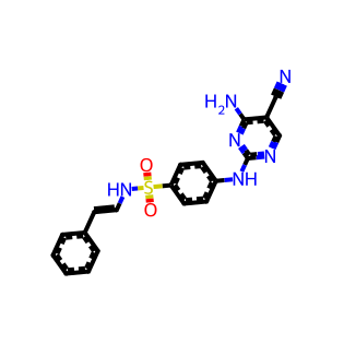 N#Cc1cnc(Nc2ccc(S(=O)(=O)NC=Cc3ccccc3)cc2)nc1N